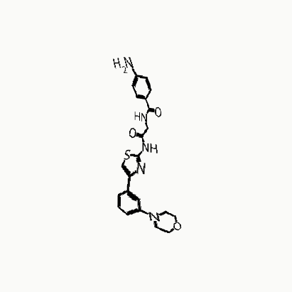 Nc1ccc(C(=O)NCC(=O)Nc2nc(-c3cccc(N4CCOCC4)c3)cs2)cc1